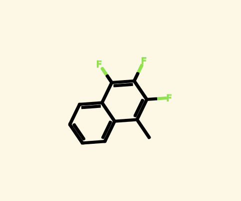 Cc1c(F)c(F)c(F)c2ccccc12